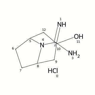 Cl.N=C(N)N1C2CCC1CC(O)C2